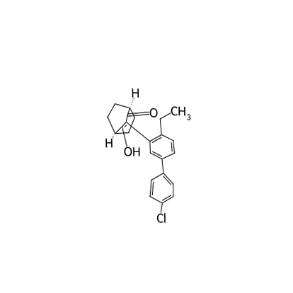 CCc1ccc(-c2ccc(Cl)cc2)cc1C1=C(O)[C@H]2CC[C@H](CC2)C1=O